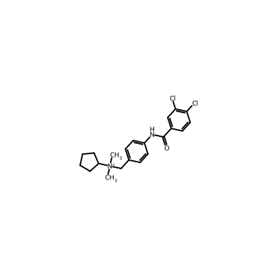 C[N+](C)(Cc1ccc(NC(=O)c2ccc(Cl)c(Cl)c2)cc1)C1CCCC1